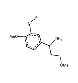 CCOc1cc(C(N)CSOC)ccc1OC